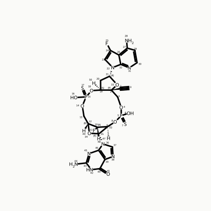 C#C[C@@]12COP(O)(=S)O[C@@H]3[C@H](F)[C@@H](COP(O)(=S)O[C@H]1C[C@H](n1cc(F)c4c(N)ccnc41)O2)O[C@H]3n1cnc2c(=O)[nH]c(N)nc21